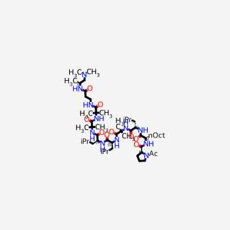 CCCCCCCC[C@H](NC(=O)[C@@H]1CCCN1C(C)=O)C(=O)N[C@@H](CC(C)C)C(=O)NC(C)(C)C(=O)N[C@@H](CC(C)C)C(=O)N[C@@H](CC(C)C)C(=O)NC(C)(C)C(=O)NC(C)(C)C(=O)NCCC(=O)N[C@@H](C)CN(C)C